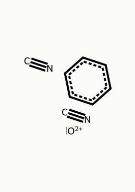 [C-]#N.[C-]#N.[O+2].c1ccccc1